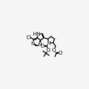 CC(=O)OCC1[CH][CH]C(c2c[nH]c3c(Cl)ncnc23)N1C(=O)OC(C)(C)C